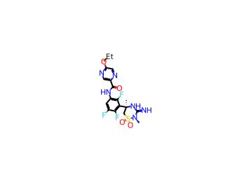 CCOc1cnc(C(=O)Nc2cc(F)c(F)c([C@]3(C)CS(=O)(=O)N(C)C(=N)N3)c2F)cn1